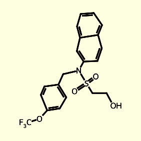 O=S(=O)(CCO)N(Cc1ccc(OC(F)(F)F)cc1)c1ccc2ccccc2c1